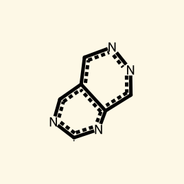 [c]1ncc2cnncc2n1